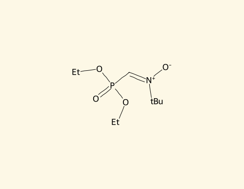 CCOP(=O)(/C=[N+](/[O-])C(C)(C)C)OCC